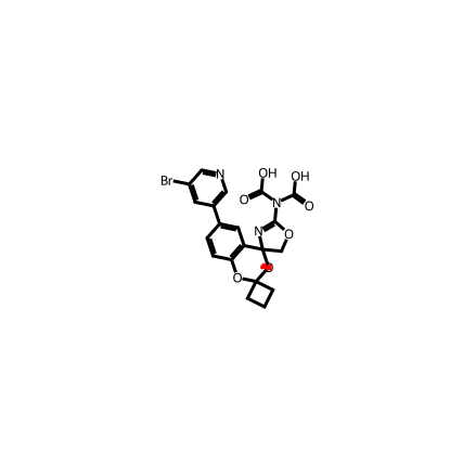 O=C(O)N(C(=O)O)C1=NC2(CO1)c1cc(-c3cncc(Br)c3)ccc1OC1(CCC1)C21COC1